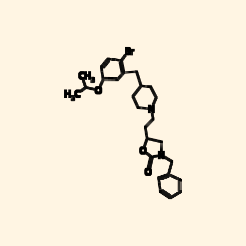 CC(C)Oc1ccc(Br)c(CC2CCN(CCC3CN(Cc4ccccc4)C(=O)O3)CC2)c1